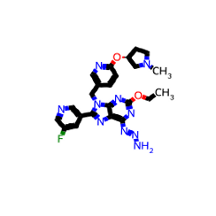 CCOc1nc(N=NN)c2nc(-c3cncc(F)c3)n(Cc3ccc(O[C@@H]4CCN(C)C4)nc3)c2n1